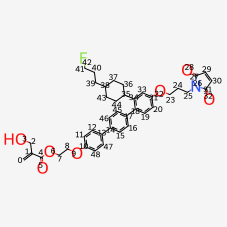 C=C(CO)C(=O)OCCOc1ccc(-c2ccc(-c3ccc(OCCCN4C(=O)C=CC4=O)cc3C3CCC(CCCF)CC3)cc2)cc1